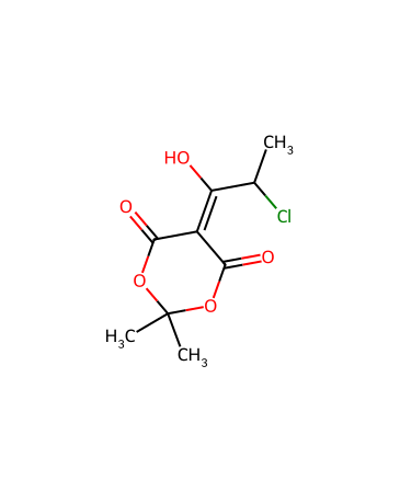 CC(Cl)C(O)=C1C(=O)OC(C)(C)OC1=O